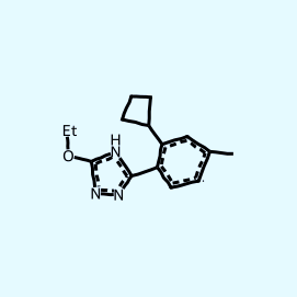 CCOc1nnc(-c2c[c]c(C)cc2C2CCC2)[nH]1